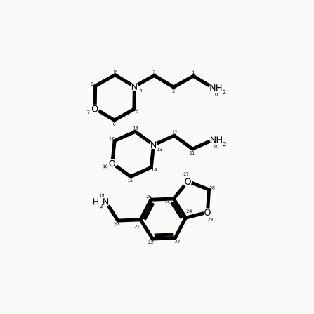 NCCCN1CCOCC1.NCCN1CCOCC1.NCc1ccc2c(c1)OCO2